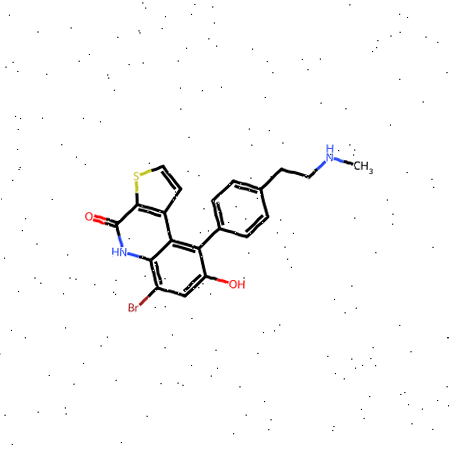 CNCCc1ccc(-c2c(O)cc(Br)c3[nH]c(=O)c4sccc4c23)cc1